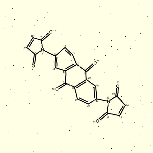 O=C1c2ccc(N3C(=O)C=CC3=O)cc2C(=O)c2ccc(N3C(=O)C=CC3=O)cc21